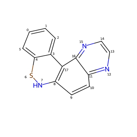 c1ccc2c(c1)SNc1ccc3nccnc3c1-2